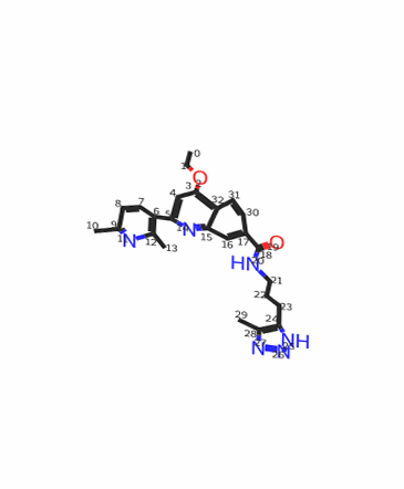 CCOc1cc(-c2ccc(C)nc2C)nc2cc(C(=O)NCCCc3[nH]nnc3C)ccc12